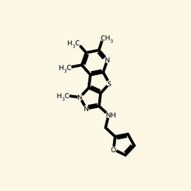 Cc1nc2sc3c(NCc4ccco4)nn(C)c3c2c(C)c1C